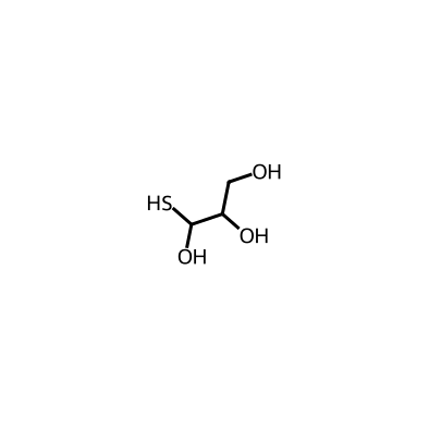 OCC(O)C(O)S